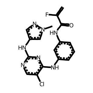 C=C(F)C(=O)Nc1cccc(Nc2nc(Nc3cnn(C)c3)ncc2Cl)c1